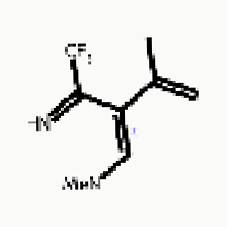 C=C(C)/C(=C/NC)C(=N)C(F)(F)F